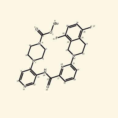 CC(C)(C)OC(=O)N1CCN(c2ccncc2NC(=O)c2cccc(N3CCc4c(F)ccc(F)c4C3)n2)CC1